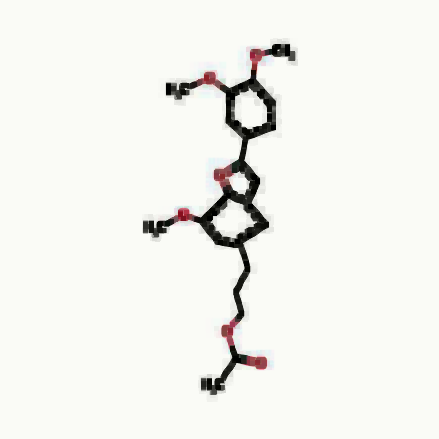 COc1ccc(-c2cc3cc(CCCOC(C)=O)cc(OC)c3o2)cc1OC